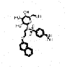 O=S(=O)(c1ccc(NO)cc1)N(CCOc1ccc2ccccc2c1)[C@@H]1O[C@H](CO)[C@@H](O)[C@H](O)[C@H]1O